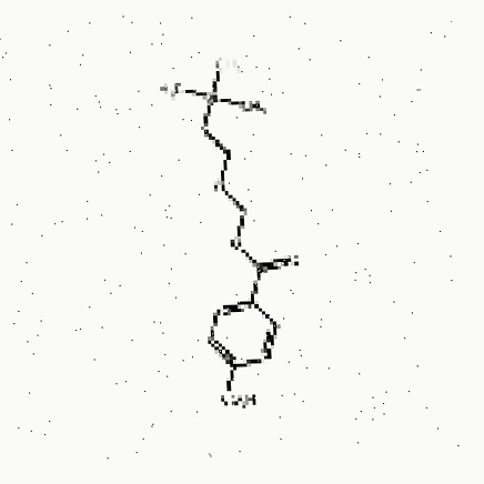 C[Si](C)(C)CCOCOC(=O)c1ccc(C(=O)O)cc1